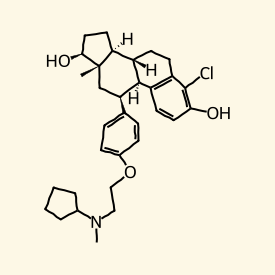 CN(CCOc1ccc([C@H]2C[C@]3(C)[C@@H](O)CC[C@H]3[C@@H]3CCc4c(ccc(O)c4Cl)[C@H]32)cc1)C1CCCC1